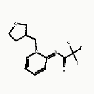 O=C(N=c1ccccn1CC1CCOC1)C(F)(F)F